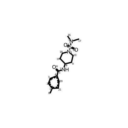 Cc1ccc(C(=O)NC2CCN(S(=O)(=O)N(C)C)CC2)cc1